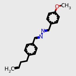 C=CCCc1ccc(C=NN=Cc2ccc(OC)cc2)cc1